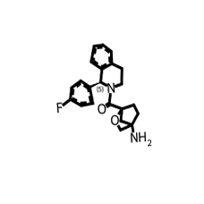 NC12CCC(C(=O)N3CCc4ccccc4[C@@H]3c3ccc(F)cc3)(C1)OC2